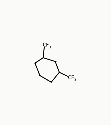 FC(F)(F)C1[CH]C(C(F)(F)F)CCC1